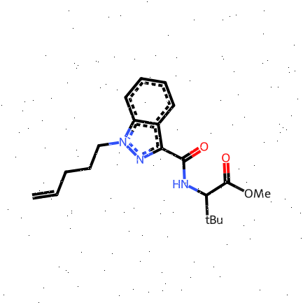 C=CCCCn1nc(C(=O)NC(C(=O)OC)C(C)(C)C)c2ccccc21